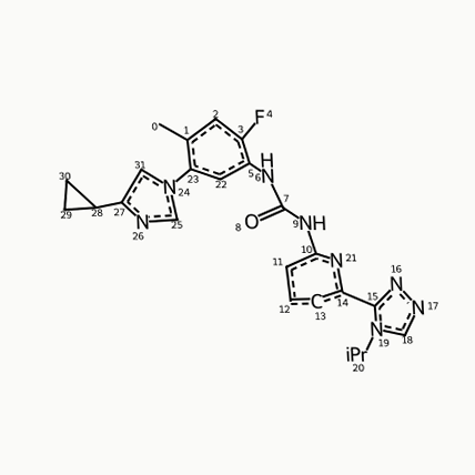 Cc1cc(F)c(NC(=O)Nc2cccc(-c3nncn3C(C)C)n2)cc1-n1cnc(C2CC2)c1